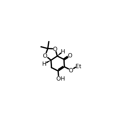 CCOC1=C(O)C[C@@H]2OC(C)(C)O[C@@H]2C1=O